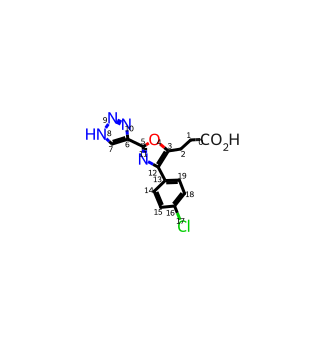 O=C(O)CCc1oc(-c2c[nH]nn2)nc1-c1ccc(Cl)cc1